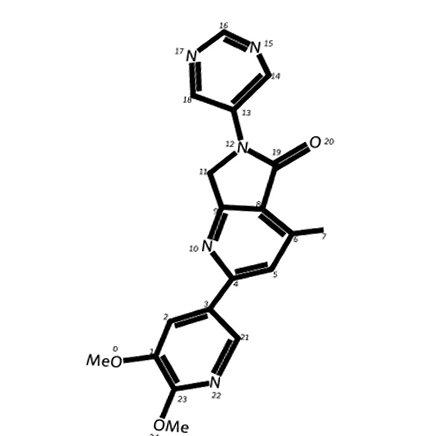 COc1cc(-c2cc(C)c3c(n2)CN(c2cncnc2)C3=O)cnc1OC